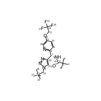 CC(C)(C)[S@@+]([O-])N[C@@H](c1ccc(OCC(F)(F)F)cn1)c1cn(C[Si](C)(C)C)nn1